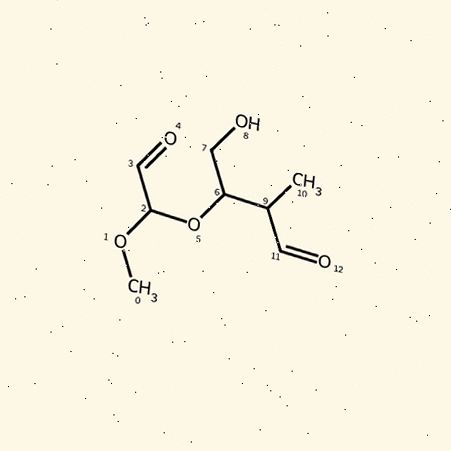 COC(C=O)OC(CO)C(C)C=O